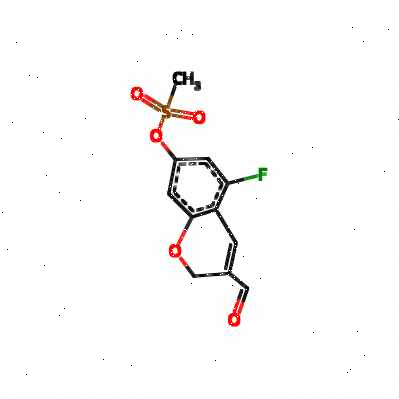 CS(=O)(=O)Oc1cc(F)c2c(c1)OCC(C=O)=C2